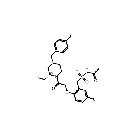 CC[C@@H]1CN(Cc2ccc(F)cc2)CCN1C(=O)COc1ccc(Cl)cc1CS(=O)(=O)NC(C)=O